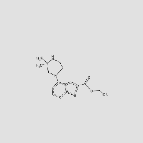 CCOC(=O)c1cn2c(N3CCNC(C)(C)C3)cccc2n1